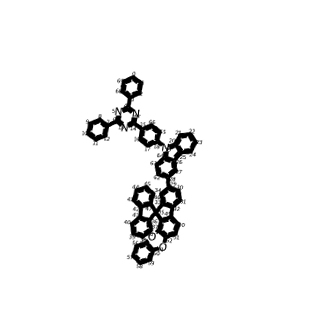 c1ccc(-c2nc(-c3ccccc3)nc(-c3ccc(-n4c5ccccc5c5cc(-c6ccc7c(c6)C6(c8ccccc8-c8ccccc86)c6c-7ccc7c6Oc6ccccc6O7)ccc54)cc3)n2)cc1